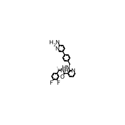 C[C@H](NC(=O)c1cccnc1NCc1ccc(-c2ccc(N)nc2)cc1)c1ccc(F)c(F)c1